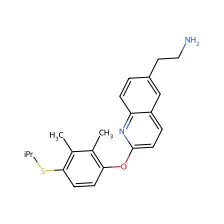 Cc1c(Oc2ccc3cc(CCN)ccc3n2)ccc(SC(C)C)c1C